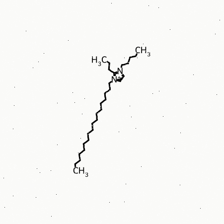 CCCCCCCCCCCCCCCCCC[n+]1ccn(CCCCC)c1CCC